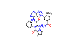 COc1ccc(C(N)=O)cc1NC(=O)c1c(N)ncnc1NC(C)c1nn2ccc(C)c2c(=O)n1-c1ccccc1